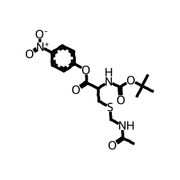 CC(=O)NCSCC(NC(=O)OC(C)(C)C)C(=O)Oc1ccc([N+](=O)[O-])cc1